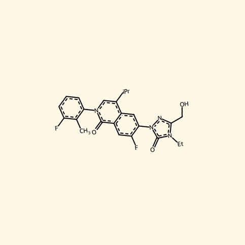 CCn1c(CO)nn(-c2cc3c(C(C)C)cn(-c4cccc(F)c4C)c(=O)c3cc2F)c1=O